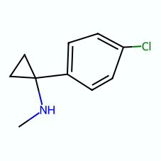 CNC1(c2ccc(Cl)cc2)CC1